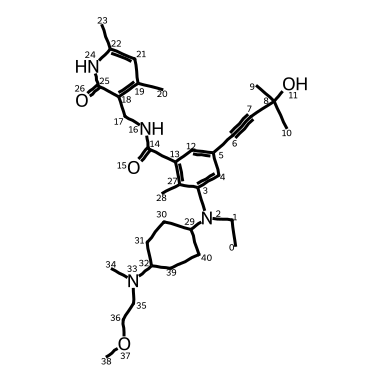 CCN(c1cc(C#CC(C)(C)O)cc(C(=O)NCc2c(C)cc(C)[nH]c2=O)c1C)C1CCC(N(C)CCOC)CC1